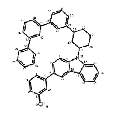 Cc1cccc(-c2ccc3c(c2)c2ccccc2n3C2CCCC(c3cccc(-c4cccc(-c5ccccc5)c4)c3)C2)c1